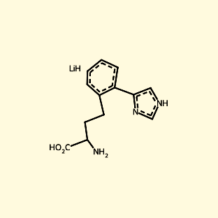 NC(CCc1ccccc1-c1c[nH]cn1)C(=O)O.[LiH]